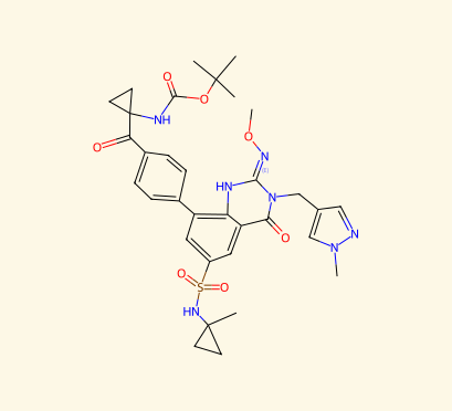 CO/N=c1\[nH]c2c(-c3ccc(C(=O)C4(NC(=O)OC(C)(C)C)CC4)cc3)cc(S(=O)(=O)NC3(C)CC3)cc2c(=O)n1Cc1cnn(C)c1